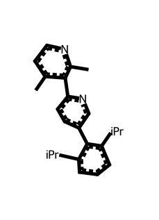 Cc1ccnc(C)c1-c1ccc(-c2c(C(C)C)cccc2C(C)C)cn1